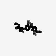 CC(=O)O[C@@H](C)/C=C\C(=O)N[C@@H]1CC[C@H](C/C=C(\C)C(=O)OC(C)(C)C)O[C@@H]1C